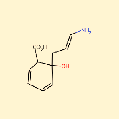 NC=CCC1(O)C=CC=CC1C(=O)O